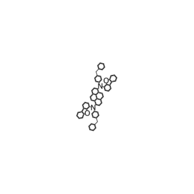 c1ccc(Cc2ccc(N(c3ccc4ccc5c(N(c6ccc(Cc7ccccc7)cc6)c6cccc7c6oc6ccccc67)ccc6ccc3c4c65)c3cccc4c3oc3ccccc34)cc2)cc1